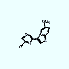 COc1ccc2ncc(-c3cncc(Cl)n3)n2c1